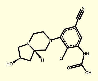 N#Cc1cc(NC(=O)O)c(Cl)c(N2CCN3C[C@H](O)C[C@H]3C2)c1